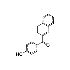 O=C(C1=Cc2ccccc2CC1)c1ccc(O)cc1